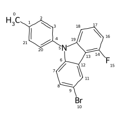 Cc1ccc(-n2c3ccc(Br)cc3c3c(F)cccc32)cc1